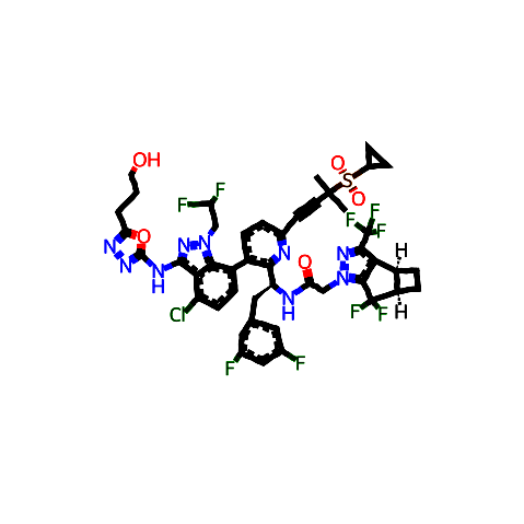 CC(C)(C#Cc1ccc(-c2ccc(Cl)c3c(Nc4nnc(CCCO)o4)nn(CC(F)F)c23)c([C@H](Cc2cc(F)cc(F)c2)NC(=O)Cn2nc(C(F)(F)F)c3c2C(F)(F)[C@@H]2CC[C@H]32)n1)S(=O)(=O)C1CC1